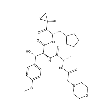 COc1ccc([C@H](O)[C@H](NC(=O)[C@H](C)NC(=O)CN2CCOCC2)C(=O)N[C@@H](CC2CCCC2)C(=O)[C@@]2(C)CO2)cc1